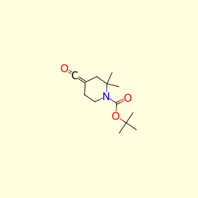 CC(C)(C)OC(=O)N1CCC(=C=O)CC1(C)C